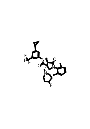 Cc1cccc(C)c1N1C[C@@](CN2CCC(F)CC2)(C(=O)Nc2cc(C3CC3)cc(C(F)(F)F)c2)C(C)C1=O